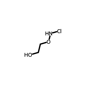 OCCONCl